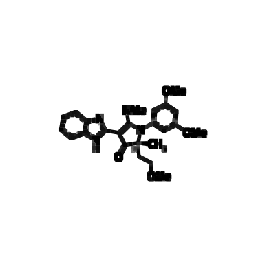 CNC1=C(c2nc3ccccc3[nH]2)C(=O)[C@@](C)(CCOC)N1c1cc(OC)cc(OC)c1